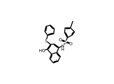 Cc1ccc(S(=O)(=O)Nc2cc(Sc3ccccc3)c(O)c3ccccc23)cc1